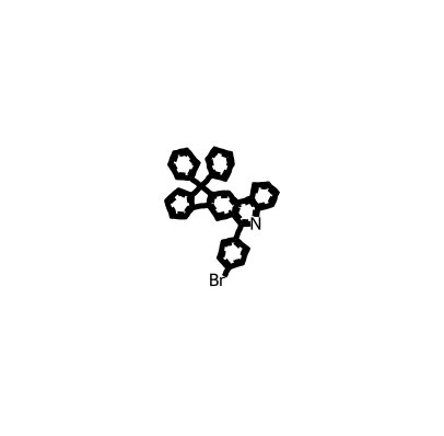 Brc1ccc(-c2nc3ccccc3c3cc4c(cc23)-c2ccccc2C4(c2ccccc2)c2ccccc2)cc1